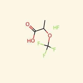 CC(OC(F)(F)F)C(=O)O.F